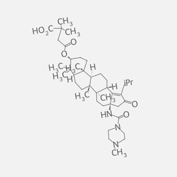 CC(C)C1=C2[C@H]3CC[C@@H]4[C@@]5(C)CC[C@H](OC(=O)CC(C)(C)C(=O)O)C(C)(C)[C@@H]5CC[C@@]4(C)[C@]3(C)CC[C@@]2(NC(=O)N2CCN(C)CC2)CC1=O